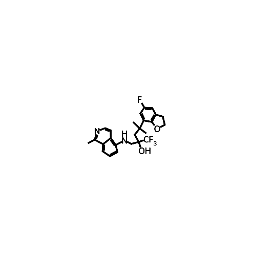 Cc1nccc2c(NCC(O)(CC(C)(C)c3cc(F)cc4c3OCC4)C(F)(F)F)cccc12